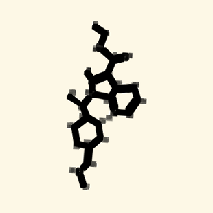 CCOC(=O)c1c(C)n([C@H](C)C2CCC(=COC)CC2)c2ncccc12